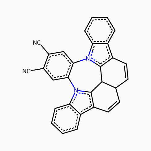 N#Cc1cc2c(cc1C#N)-n1c3c(c4ccccc41)C=CC1C=Cc4c(n-2c2ccccc42)C31